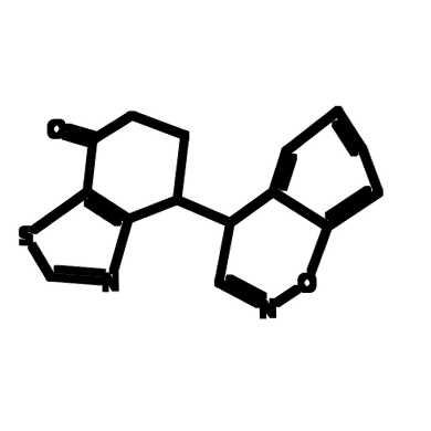 O=C1CCC(C2C=NOc3ccccc32)c2ncsc21